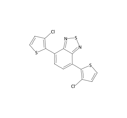 Clc1ccsc1-c1ccc(-c2sccc2Cl)c2nsnc12